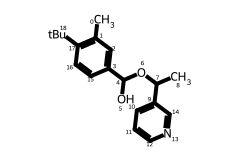 Cc1cc(C(O)OC(C)c2cccnc2)ccc1C(C)(C)C